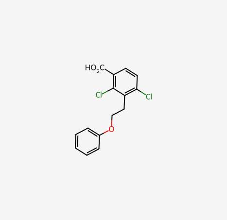 O=C(O)c1ccc(Cl)c(CCOc2ccccc2)c1Cl